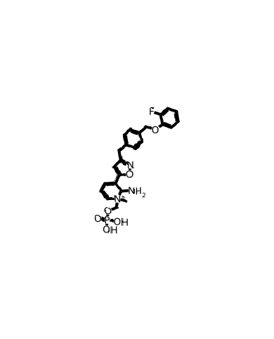 C[N+]1(COP(=O)(O)O)C=CC=C(c2cc(Cc3ccc(COc4ccccc4F)cc3)no2)C1N